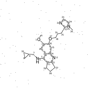 COc1cc2c(NCC3CC3)c3c(nc2cc1OCCCc1nccn1C)CCC3